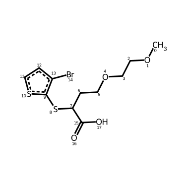 COCCOCCC(Sc1sccc1Br)C(=O)O